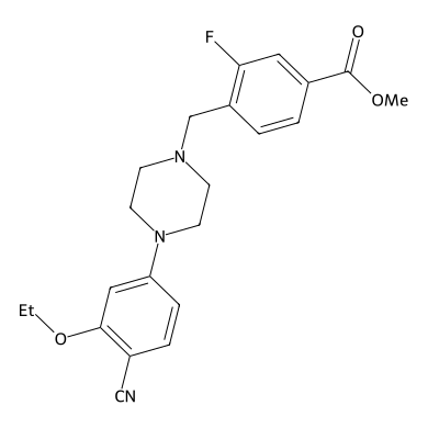 CCOc1cc(N2CCN(Cc3ccc(C(=O)OC)cc3F)CC2)ccc1C#N